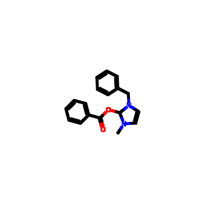 CN1C=CN(Cc2ccccc2)C1OC(=O)c1ccccc1